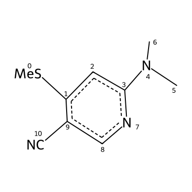 CSc1cc(N(C)C)ncc1C#N